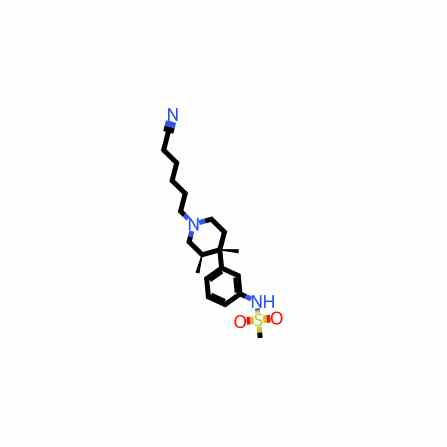 C[C@H]1CN(CCCCCC#N)CC[C@]1(C)c1cccc(NS(C)(=O)=O)c1